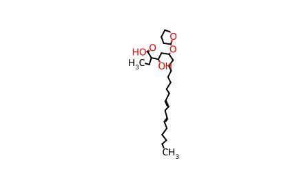 CCCCCC=CCC=CCCCCCCCC(CC(O)C(CC)C(=O)O)OC1CCCCO1